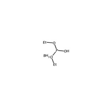 B.CCOP(O)OCC